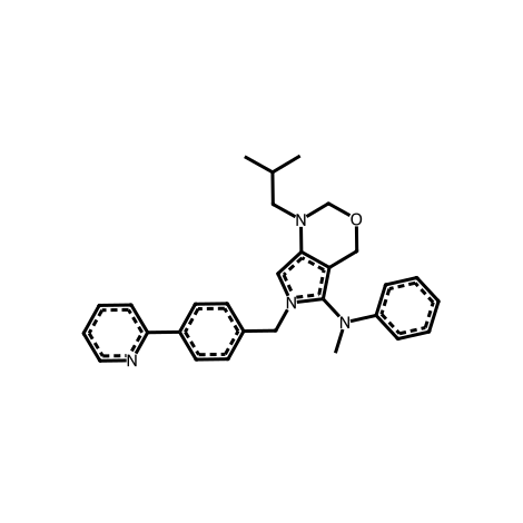 CC(C)CN1COCc2c1cn(Cc1ccc(-c3ccccn3)cc1)c2N(C)c1ccccc1